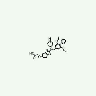 CCOc1cc(CN(c2nc3cc(OCC(=O)O)ccc3o2)C2CCNCC2)cc(OCC)c1-n1cccc1